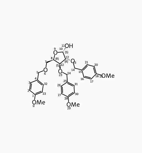 COc1ccc(COC[C@H]2O[C@H](O)[C@H](OCc3ccc(OC)cc3)[C@H]2OCc2ccc(OC)cc2)cc1